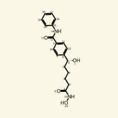 O=C(CCCC[C@@H](O)c1ccc(C(=O)Nc2ccccc2)cc1)NO